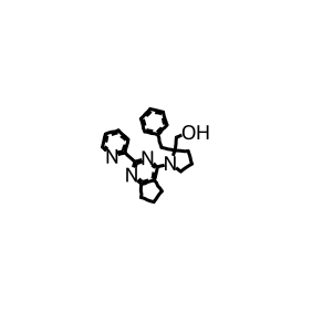 OCC1(Cc2ccccc2)CCCN1c1nc(-c2ccccn2)nc2c1CCC2